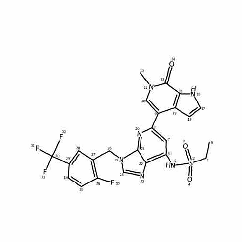 CCS(=O)(=O)Nc1cc(-c2cn(C)c(=O)c3[nH]ccc23)nc2c1ncn2Cc1cc(C(F)(F)F)ccc1F